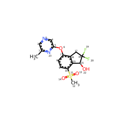 Cc1cncc(Oc2ccc(S(C)(=O)=O)c3c2CC(F)(F)[C@H]3O)n1